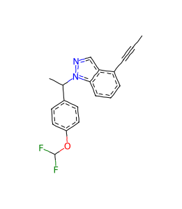 CC#Cc1cccc2c1cnn2C(C)c1ccc(OC(F)F)cc1